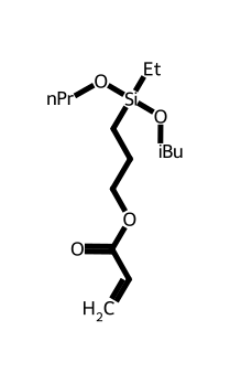 C=CC(=O)OCCC[Si](CC)(OCCC)OC(C)CC